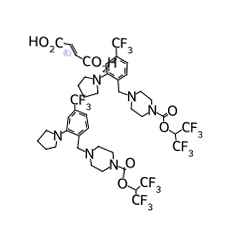 O=C(O)/C=C/C(=O)O.O=C(OC(C(F)(F)F)C(F)(F)F)N1CCN(Cc2ccc(C(F)(F)F)cc2N2CCCC2)CC1.O=C(OC(C(F)(F)F)C(F)(F)F)N1CCN(Cc2ccc(C(F)(F)F)cc2N2CCCC2)CC1